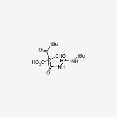 CC(C)(C)NPNC(=O)[PH](C=O)(C(=O)O)C(=O)C(C)(C)C